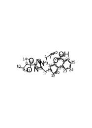 C#CCCn1nc(C(CCC)(OC)OC)nc1Cc1ccc(-c2ccccc2C(=O)O)cc1